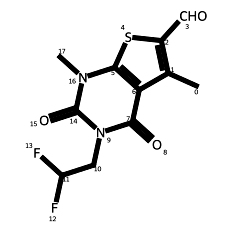 Cc1c(C=O)sc2c1c(=O)n(CC(F)F)c(=O)n2C